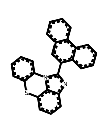 c1ccc2c(c1)Sc1cccc3nc(-c4cc5ccccc5c5ccccc45)n-2c13